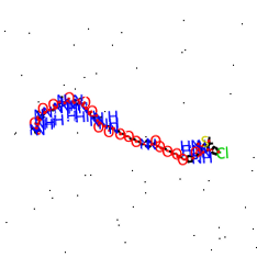 CC(=N)N1C(=N)[C@H](CC(=O)Nc2ccc(OCCOCCOCCOCC(=O)N3CCN(CCOCCOCCOCCNC(=O)CCNC(=O)c4nc(NC(=O)CCNC(=O)c5cc(NC(=O)C6NC(NC(=O)CCNC(=O)c7cc(NC(=O)c8nccn8C)cn7C)=CN6C)cn5C)cn4C)CC3)cc2)N=C(c2ccc(Cl)cc2)c2c1sc(C)c2C